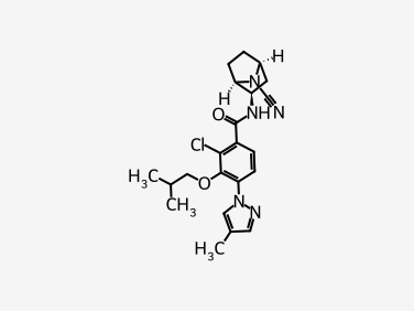 Cc1cnn(-c2ccc(C(=O)N[C@@H]3C[C@@H]4CC[C@H]3N4C#N)c(Cl)c2OCC(C)C)c1